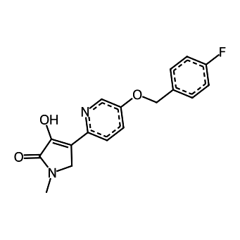 CN1CC(c2ccc(OCc3ccc(F)cc3)cn2)=C(O)C1=O